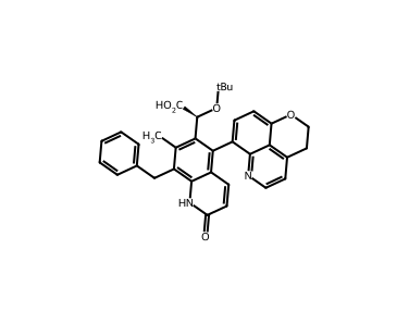 Cc1c([C@H](OC(C)(C)C)C(=O)O)c(-c2ccc3c4c(ccnc24)CCO3)c2ccc(=O)[nH]c2c1Cc1ccccc1